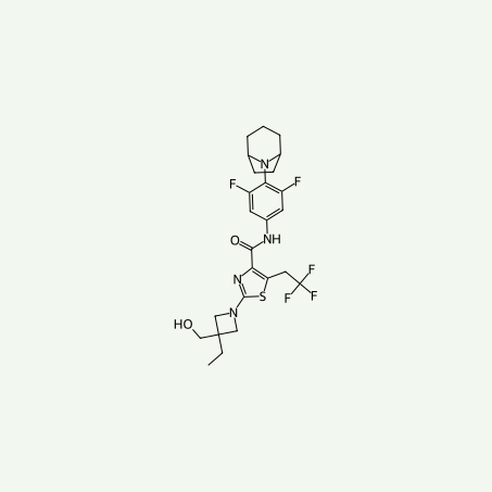 CCC1(CO)CN(c2nc(C(=O)Nc3cc(F)c(N4C5CCCC4CC5)c(F)c3)c(CC(F)(F)F)s2)C1